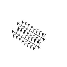 FC(F)(F)C(F)(F)C(F)(F)C(F)(F)C(F)(F)C(F)(F)C(F)(F)C(F)(F)Br.FC(F)(F)C(F)(F)C(F)(F)C(F)(F)C(F)(F)C(F)(F)C(F)(F)C(F)(F)Br